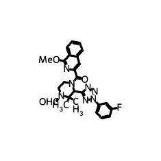 COc1nc(C(=O)N2CCN(C=O)C(C)(C)C2c2nnn(-c3cccc(F)c3)n2)cc2ccccc12